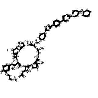 C[C@@H](O)[C@@H]1NC(=O)[C@@H](NC[C@H]2CC[C@H](c3nnc(-c4ccc(-c5cnc(N6CCC(OC7CCCCC7)CC6)nc5)cc4)s3)CC2)C[C@@H](O)CNC(=O)[C@@H]2[C@@H](O)[C@@H](C)CN2C(=O)[C@H]([C@H](O)CC(N)=O)NC(=O)[C@H]([C@H](O)Cc2ccc(O)c(OCCN)c2)NC(=O)[C@@H]2C[C@@H](O)CN2C1=O